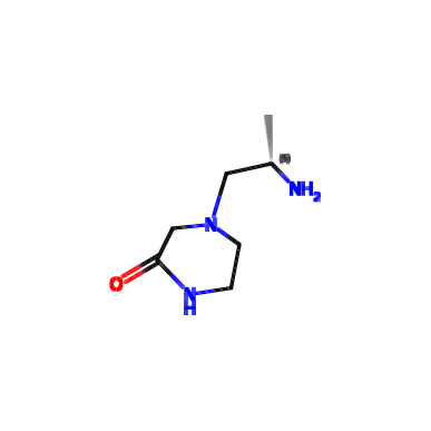 C[C@H](N)CN1CCNC(=O)C1